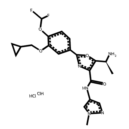 C[C@H](N)c1oc(-c2ccc(OC(F)F)c(OCC3CC3)c2)nc1C(=O)Nc1cnn(C)c1.Cl.Cl